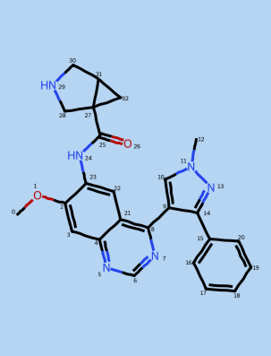 COc1cc2ncnc(-c3cn(C)nc3-c3ccccc3)c2cc1NC(=O)C12CNCC1C2